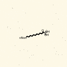 CCCCCCCCCCCCCCCCCCCC(=O)N(O)O